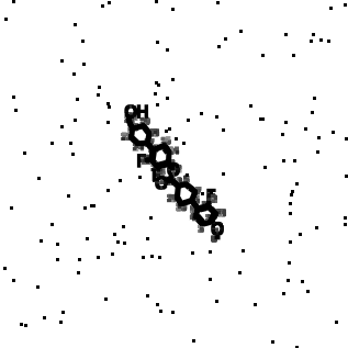 COc1ccc(C2CCC(C(=O)Oc3ccc(C4CCC(CO)CC4)c(F)c3F)CC2)c(F)c1